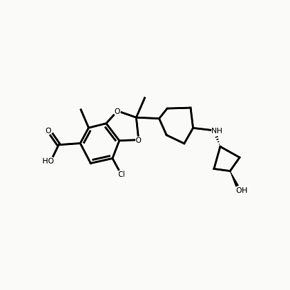 Cc1c(C(=O)O)cc(Cl)c2c1OC(C)(C1CCC(N[C@H]3C[C@H](O)C3)CC1)O2